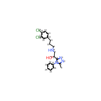 Cc1nnc(C(O)CNCCCc2ccc(Cl)c(Cl)c2)n1-c1ccccc1